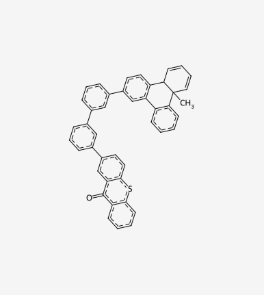 CC12C=CC=CC1c1ccc(-c3cccc(-c4cccc(-c5ccc6sc7ccccc7c(=O)c6c5)c4)c3)cc1-c1ccccc12